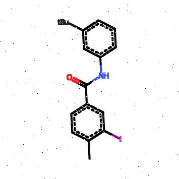 Cc1ccc(C(=O)Nc2cccc(C(C)(C)C)c2)cc1I